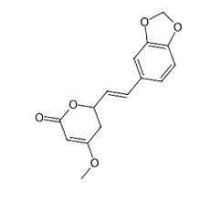 COC1=CC(=O)OC(C=Cc2ccc3c(c2)OCO3)C1